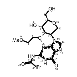 COCCO[C@@H]1[C@H](O)[C@@H](CO)OC[C@H]1n1cnc2c(=O)[nH]c(NC(=O)C(C)C)nc21